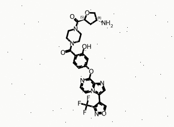 N[C@H]1CO[C@H](C(=O)N2CCN(C(=O)c3ccc(Oc4nccn5c(-c6conc6C(F)(F)F)cnc45)cc3O)CC2)C1